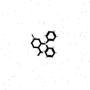 CC(C)C1CC[C@@H](C)CC1P(c1ccccc1)c1ccccc1